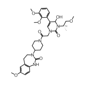 COC[C@H](C)N1C(=O)N(CC(=O)N2CCC(N3CCc4cc(OC)ccc4NC3=O)CC2)C=C(c2cccc(OC)c2OC)C1O